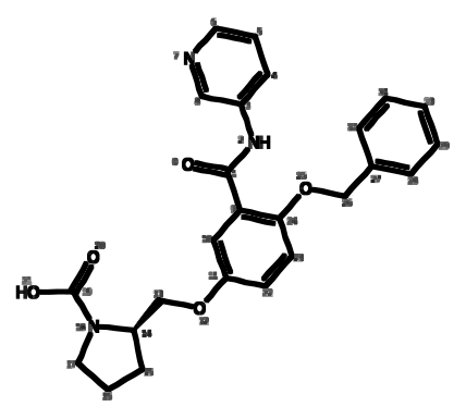 O=C(Nc1cccnc1)c1cc(OC[C@H]2CCCN2C(=O)O)ccc1OCc1ccccc1